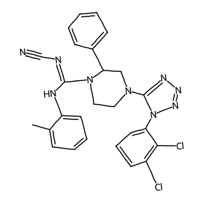 Cc1ccccc1N/C(=N\C#N)N1CCN(c2nnnn2-c2cccc(Cl)c2Cl)CC1c1ccccc1